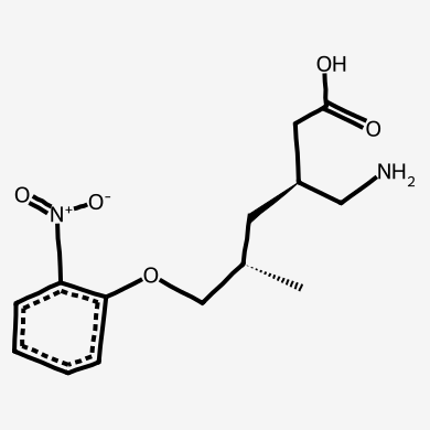 C[C@H](COc1ccccc1[N+](=O)[O-])C[C@H](CN)CC(=O)O